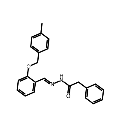 Cc1ccc(COc2ccccc2C=NNC(=O)Cc2ccccc2)cc1